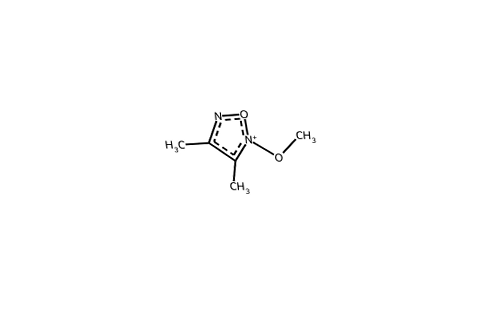 CO[n+]1onc(C)c1C